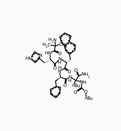 CCCCOC(=O)NC(CCCC)(NC(=O)[C@@H](Cc1ccccc1)NC(=O)[C@@H](Cc1ccc2ccccc2c1)NC(=O)[C@H](Cc1c[nH]cn1)NC(=O)C(C)(C)N)C(N)=O